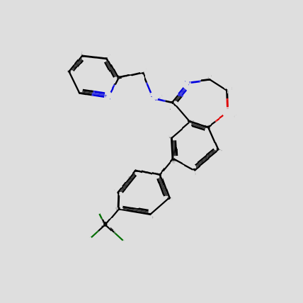 FC(F)(F)c1ccc(-c2ccc3c(c2)C(NCc2ccccn2)=NCCO3)cc1